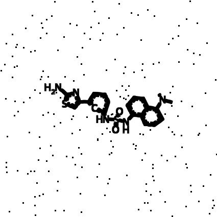 CN(C)c1cccc2c(NS(=O)(=O)Nc3cccc(-c4csc(N)n4)c3)cccc12